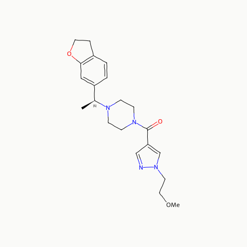 COCCn1cc(C(=O)N2CCN([C@@H](C)c3ccc4c(c3)OCC4)CC2)cn1